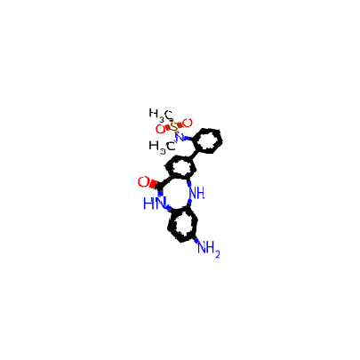 CN(c1ccccc1-c1ccc2c(c1)Nc1cc(N)ccc1NC2=O)S(C)(=O)=O